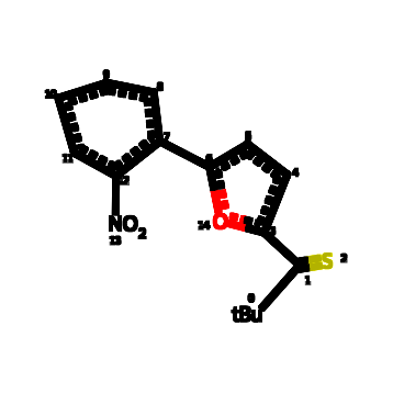 CC(C)(C)C(=S)c1ccc(-c2ccccc2[N+](=O)[O-])o1